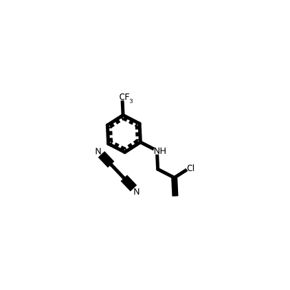 C=C(Cl)CNc1cccc(C(F)(F)F)c1.N#CC#N